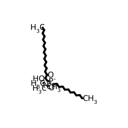 CCCCCCCCCCCCCCCC(=O)C(O)C([P-]C(=O)CCCCCCCCCCC)[N+](C)(C)C